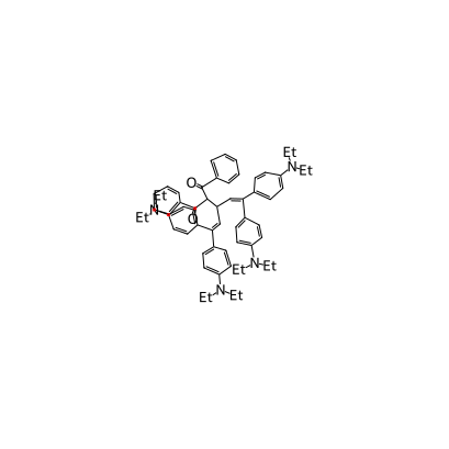 CCN(CC)c1ccc(C(=CC(C=C(c2ccc(N(CC)CC)cc2)c2ccc(N(CC)CC)cc2)C(C(=O)c2ccccc2)C(=O)c2ccccc2)c2ccc(N(CC)CC)cc2)cc1